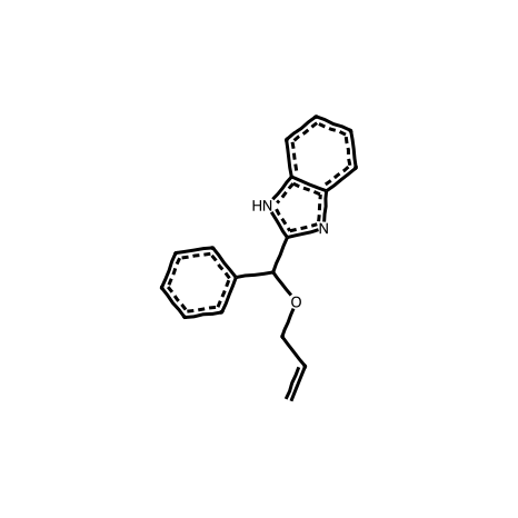 C=CCOC(c1ccccc1)c1nc2ccccc2[nH]1